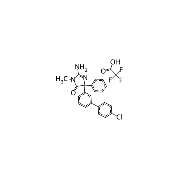 CN1C(=O)C(c2ccccc2)(c2cccc(-c3ccc(Cl)cc3)c2)N=C1N.O=C(O)C(F)(F)F